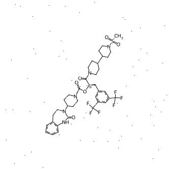 CS(=O)(=O)N1CCC(C2CCN(C(=O)[C@@H](Cc3cc(C(F)(F)F)cc(C(F)(F)F)c3)OC(=O)N3CCC(N4CCc5ccccc5NC4=O)CC3)CC2)CC1